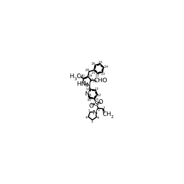 C=CC(N1CCCC1)S(=O)(=O)c1ccc(N2NC(C)=C(Cc3ccccc3)C2C=O)nc1